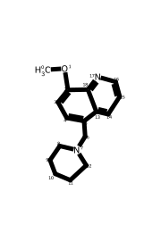 COc1ccc(CN2CCCCC2)c2cccnc12